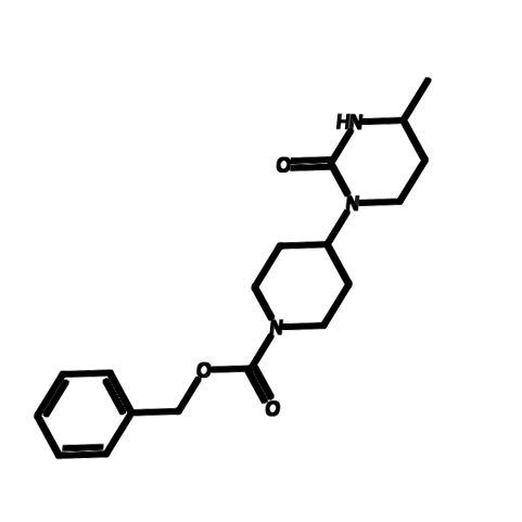 CC1CCN(C2CCN(C(=O)OCc3ccccc3)CC2)C(=O)N1